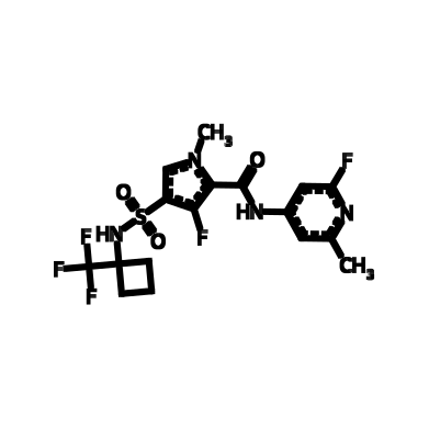 Cc1cc(NC(=O)c2c(F)c(S(=O)(=O)NC3(C(F)(F)F)CCC3)cn2C)cc(F)n1